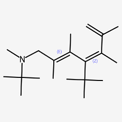 C=C(C)/C(C)=C(\C(C)=C(/C)CN(C)C(C)(C)C)C(C)(C)C